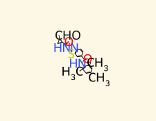 Cc1cc(C)c(NC(=O)c2ccc3nc(NC(=O)C4CC4C=O)sc3c2)c(C)c1